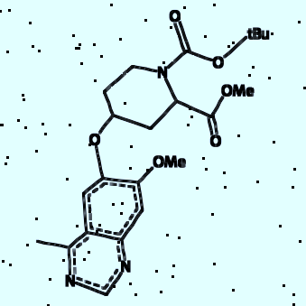 COC(=O)C1CC(Oc2cc3c(C)ncnc3cc2OC)CCN1C(=O)OC(C)(C)C